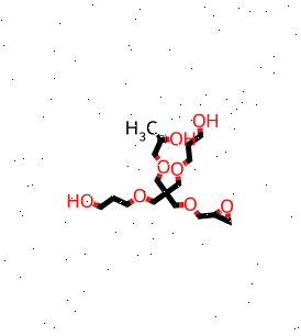 C[C@@H](O)COCC(COCCCO)(COCCCO)COCC1CO1